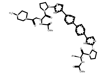 COC(=O)N[C@@H](CC(=O)N1CCN(C)CC1)C(=O)N1CCC[C@H]1c1ncc(-c2ccc(-c3ccc(-c4cnc([C@@H]5CCCN5C(=O)[C@@H](NC(=O)OC)C(C)C)[nH]4)cc3)cc2)[nH]1